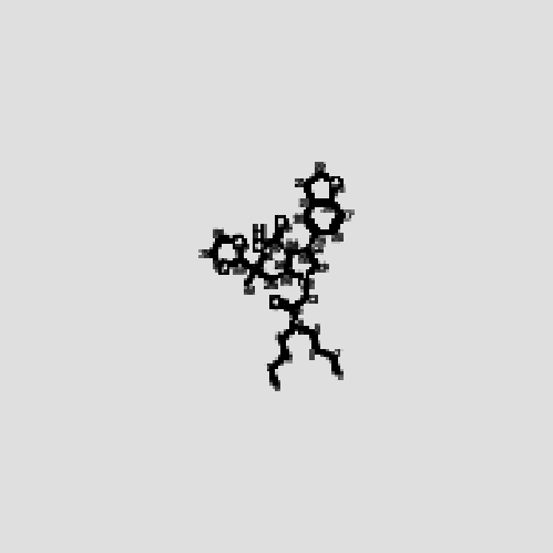 CCCCN(CCCC)C(=O)CN1C[C@H](c2ccc3c(c2)CCO3)[C@@H](C(=O)O)[C@@H]1CC(C)(C)C1OCCO1